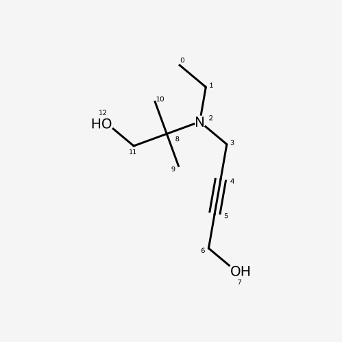 CCN(CC#CCO)C(C)(C)CO